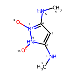 CNC1=CC(NC)=[N+]([O-])[NH+]1[O-]